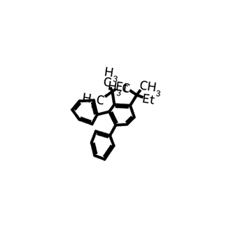 CCC(C)(C)c1ccc(-c2ccccc2)c(-c2ccccc2)c1C(C)(C)CC